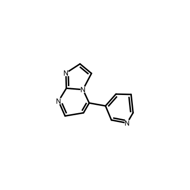 c1cncc(-c2ccnc3nccn23)c1